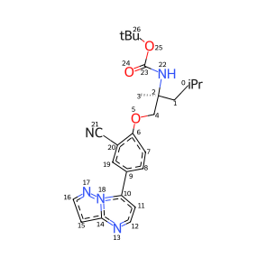 CC(C)C[C@@](C)(COc1ccc(-c2ccnc3ccnn23)cc1C#N)NC(=O)OC(C)(C)C